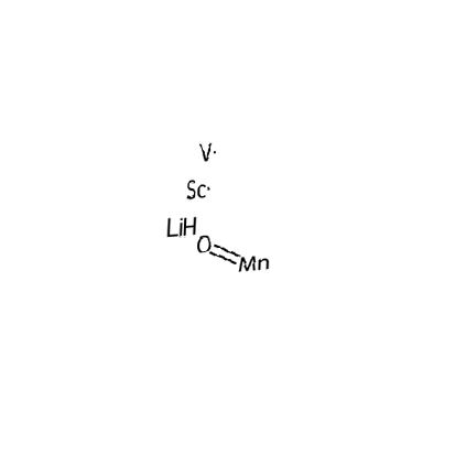 [LiH].[O]=[Mn].[Sc].[V]